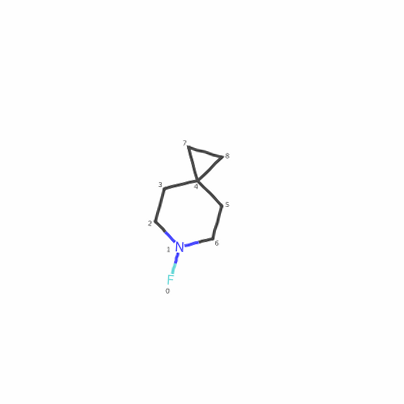 FN1CCC2(CC1)CC2